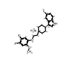 COc1cc(F)c(F)cc1OCC[C@]1(N)CC[C@H](c2c[nH]c3ccc(F)cc32)CC1